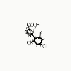 Cc1cc(Cl)cc(Cl)c1-c1noc(C(=O)O)n1